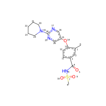 Cc1cc(C(=O)NS(C)(=O)=O)ccc1Oc1cnc(N2CCCCC2)nc1